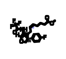 COC(=O)CCC/C=C\C[C@@H]1[C@@H](NC(=O)C(F)(F)F)[C@H]2C[C@]1(c1ccc(F)cc1)CO2